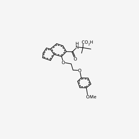 COc1ccc(OCCOc2c(C(=O)NC(C)(C)C(=O)O)ccc3ccccc23)cc1